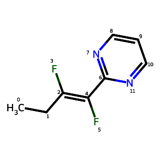 CCC(F)=C(F)c1ncccn1